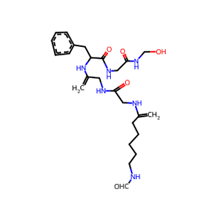 C=C(CCCCCNC=O)NCC(=O)NCC(=C)NC(Cc1ccccc1)C(=O)NCC(=O)NCO